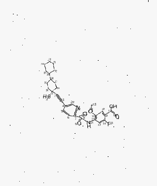 BC1(C#Cc2ccc(S(=O)(=O)Nc3cc(F)c(C(=O)O)cc3OC)nc2)CCC(C2CCCCC2)CC1